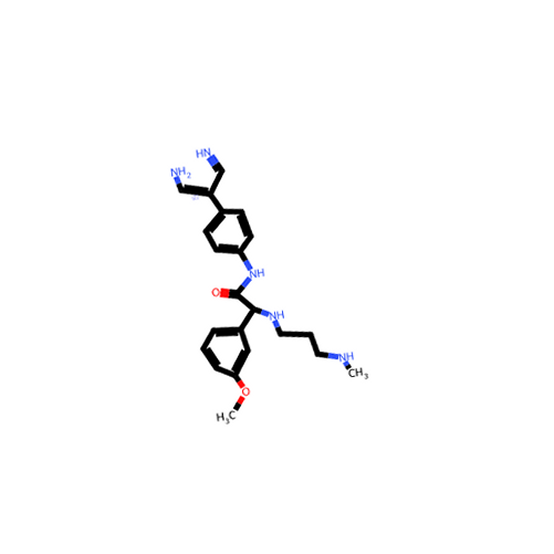 CNCCCNC(C(=O)Nc1ccc(/C(C=N)=C/N)cc1)c1cccc(OC)c1